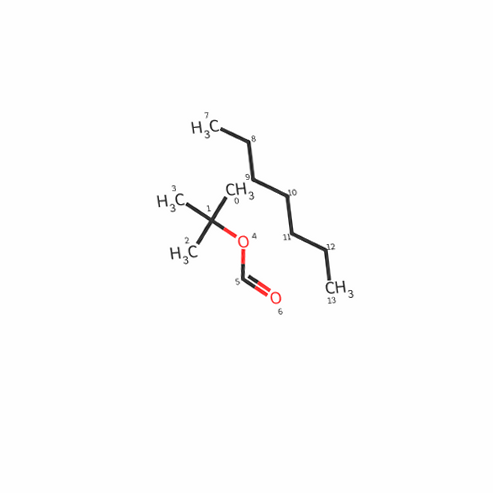 CC(C)(C)OC=O.CCCCCCC